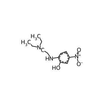 CCN(CC)CCNc1ccc([N+](=O)[O-])cc1O